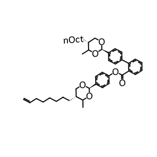 C=CCCCCCC[C@@H]1CO[C@@H](c2ccc(OC(=O)c3ccccc3-c3ccc([C@@H]4OC[C@@H](CCCCCCCC)C(C)O4)cc3)cc2)OC1C